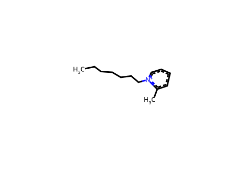 CCCCCCC[n+]1ccccc1C